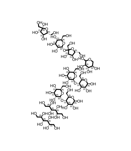 OC1OC[C@@H](O)[C@H](O)[C@H]1O.OC[C@@H](O)[C@@H](O)[C@H](O)[C@@H](O)CO.OC[C@@H](O)[C@@H](O)[C@H](O)[C@@H](O)CO.OC[C@H]1O[C@@H](O[C@H]2[C@H](O)[C@@H](O)[C@H](O)O[C@@H]2CO)[C@H](O)[C@@H](O)[C@H]1O.OC[C@H]1O[C@@](CO)(O[C@H]2O[C@H](CO)[C@@H](O)[C@H](O)[C@H]2O)[C@@H](O)[C@@H]1O.OC[C@H]1O[C@H](O[C@H]2[C@H](O)[C@@H](O)[C@H](O)O[C@@H]2CO)[C@H](O)[C@@H](O)[C@@H]1O.OC[C@H]1O[C@](O)(CO)[C@@H](O)[C@@H]1O